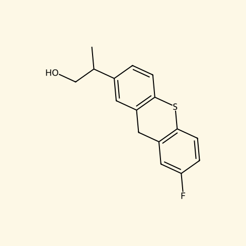 CC(CO)c1ccc2c(c1)Cc1cc(F)ccc1S2